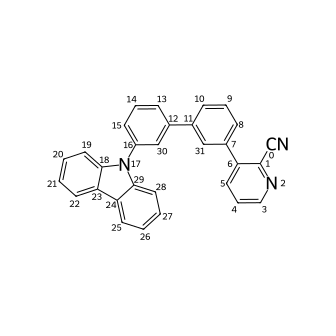 N#Cc1ncccc1-c1cccc(-c2cccc(-n3c4ccccc4c4ccccc43)c2)c1